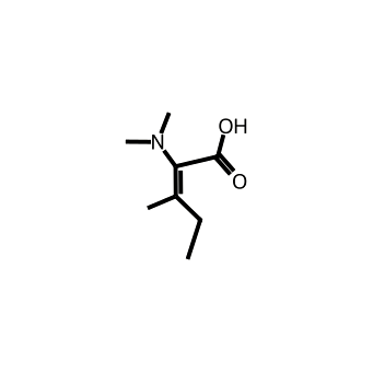 CC/C(C)=C(\C(=O)O)N(C)C